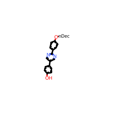 CCCCCCCCCCOc1ccc(-c2ncc(-c3ccc(O)cc3)cn2)cc1